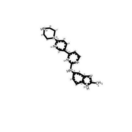 Cc1nc2cc(Nc3nccc(-c4ccc(N5CCNCC5)nc4)n3)ccc2[nH]1